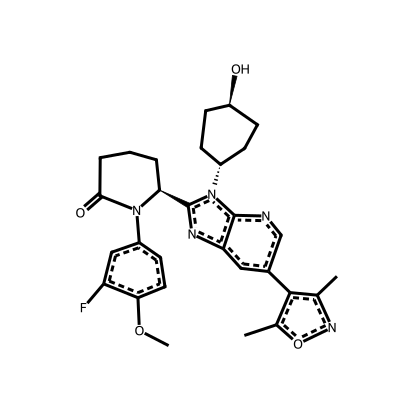 COc1ccc(N2C(=O)CCC[C@H]2c2nc3cc(-c4c(C)noc4C)cnc3n2[C@H]2CC[C@H](O)CC2)cc1F